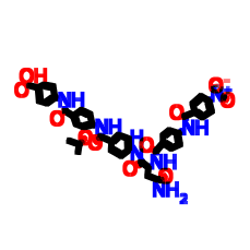 CC(C)Oc1cc(C(=O)Nc2ccc(C(=O)O)cc2)ccc1NC(=O)c1ccc(NC(=O)C(CC(N)=O)NC(=O)c2ccc(NC(=O)c3ccc([N+](=O)[O-])cc3)cc2)cc1